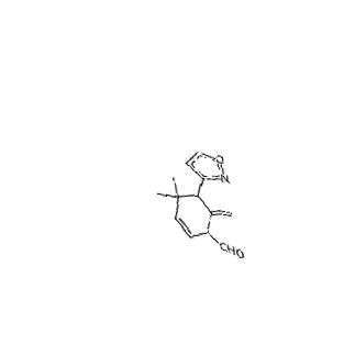 C=C1C(C=O)C=CC(C)(C)C1c1ccon1